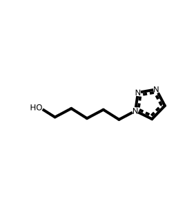 OCCCCCn1ccnn1